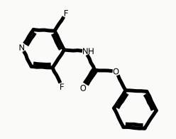 O=C(Nc1c(F)cncc1F)Oc1ccccc1